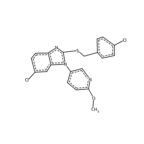 COc1ccc(-n2c(SCc3ccc(Cl)cc3)nc3ccc(Cl)cc32)cn1